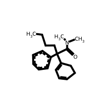 CCCCC(C(=O)N(C)C)(C1=CC=CCC1)c1ccccc1